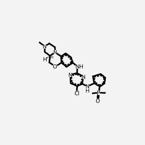 CN1CCN2c3ccc(Nc4ncc(Cl)c(Nc5ccccc5P(C)(C)=O)n4)cc3OC[C@H]2C1